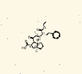 CCOC(=O)[C@H](CCc1ccccc1)N[C@@H](C)C(=O)C1[C@H]2CCC[C@H]2C[C@H]1C(=O)O